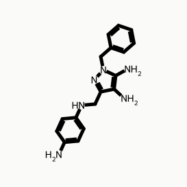 Nc1ccc(NCc2nn(Cc3ccccc3)c(N)c2N)cc1